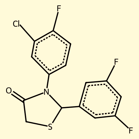 O=C1CSC(c2cc(F)cc(F)c2)N1c1ccc(F)c(Cl)c1